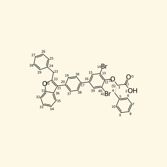 O=C(O)[C@H](Cc1ccccc1)Oc1c(Br)cc(-c2ccc(-c3c(Cc4ccccc4)oc4ccccc34)cc2)cc1Br